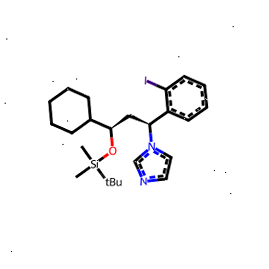 CC(C)(C)[Si](C)(C)O[C@H](C[C@@H](c1ccccc1I)n1ccnc1)C1CCCCC1